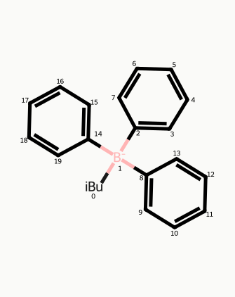 CCC(C)[B-](c1ccccc1)(c1ccccc1)c1ccccc1